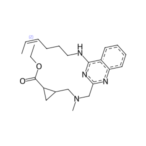 C/C=C\CCCNc1nc(CN(C)CC2CC2C(=O)OCC)nc2ccccc12